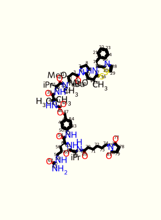 CC[C@H](C)[C@@H]([C@@H](CC(=O)N1CCC[C@H]1[C@H](OC)[C@@H](C)C(=S)N[C@@H](Cc1ccccc1)c1nccs1)OC)N(C)C(=O)[C@@H](NC(=O)C(C)(C)NC(=O)OCc1ccc(NC(=O)[C@H](CCCNC(N)=O)NC(=O)[C@@H](NC(=O)CCCCCN2C(=O)C=CC2=O)C(C)C)cc1)C(C)C